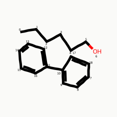 CCCCCCO.c1ccc(-c2ccccc2)cc1